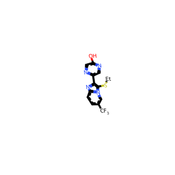 CCSc1c(-c2cnc(O)cn2)nc2ccc(C(F)(F)F)cn12